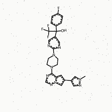 Cn1cc(-c2cc3c(N4CCN(c5ncc(C(O)(c6ccc(F)cc6)C(F)(F)F)cn5)CC4)ncnn3c2)cn1